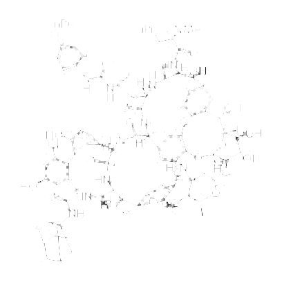 CCCCOc1ccc(NC(=O)NC(=O)C[C@@H]2NC(=O)[C@H](NC(=O)[C@@H](CC(C)C)NC)[C@H](O)c3ccc4c(c3)C(O)[C@H]3O[C@@H](Oc5c6cc(cc5O4)[C@@H](NC2=O)C(=O)N[C@H]2C(=O)N[C@H](C(=O)N[C@H](C(=O)NC4C5CC7CC(C5)CC4C7)c4cc(O)cc(O)c4-c4cc2ccc4O)[C@H](O)c2ccc(c(Cl)c2)O6)[C@H](O[C@H]2C[C@](C)(N)[C@H](O)[C@H](C)O2)[C@@H](O)[C@@H]3O)cc1